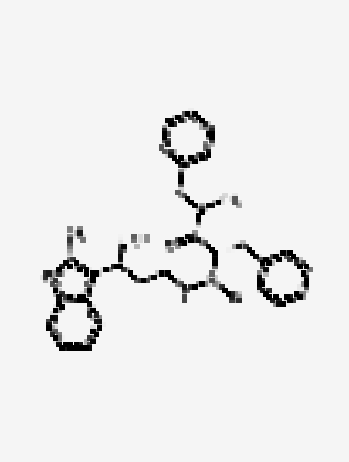 CCN(NCC[C@H](C(=O)O)c1c(C)[nH]c2ccccc12)[C@@H](Cc1ccccc1)C(=O)N(C)Cc1ccccc1